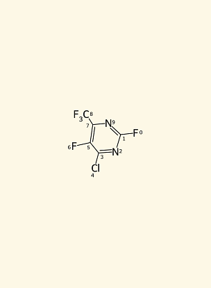 Fc1nc(Cl)c(F)c(C(F)(F)F)n1